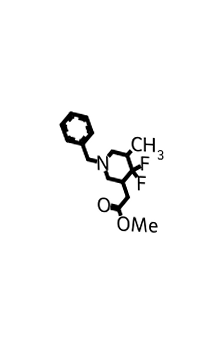 COC(=O)CC1CN(Cc2ccccc2)CC(C)C1(F)F